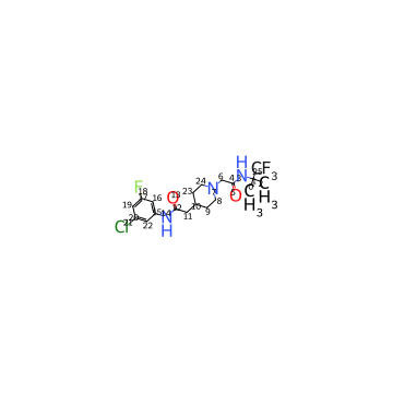 CC(C)(NC(=O)CN1CCC(CC(=O)Nc2cc(F)cc(Cl)c2)CC1)C(F)(F)F